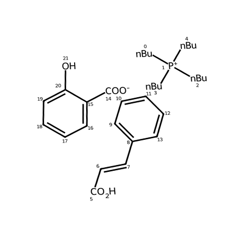 CCCC[P+](CCCC)(CCCC)CCCC.O=C(O)C=Cc1ccccc1.O=C([O-])c1ccccc1O